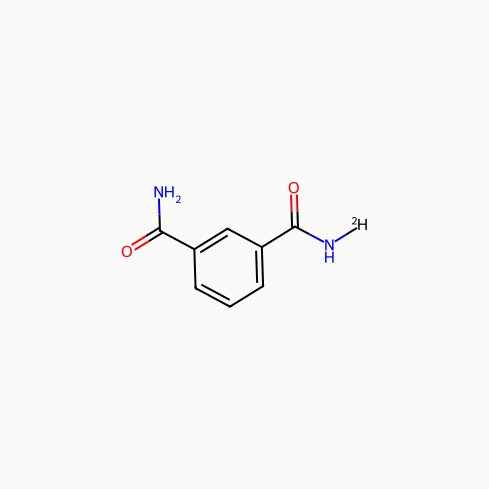 [2H]NC(=O)c1cccc(C(N)=O)c1